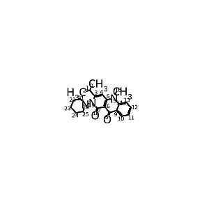 CC(C)c1cc2c(c(=O)c3ccccc3n2C)c(=O)n1N1CCCCC1